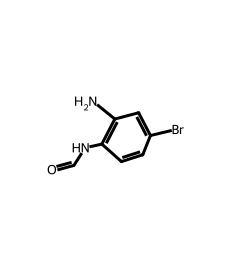 Nc1cc(Br)ccc1NC=O